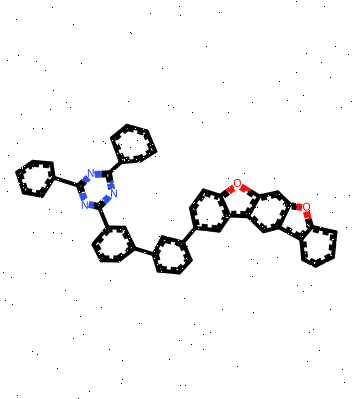 c1ccc(-c2nc(-c3ccccc3)nc(-c3cccc(-c4cccc(-c5ccc6oc7cc8oc9ccccc9c8cc7c6c5)c4)c3)n2)cc1